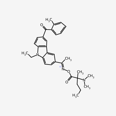 CCCC(C)(C(=O)O/N=C(\C)c1ccc2c(c1)c1cc(C(=O)c3ccccc3C)ccc1n2CC)N(C)C